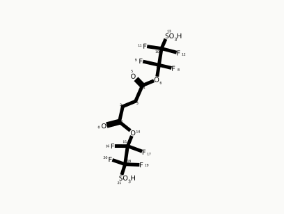 O=C(CCC(=O)OC(F)(F)C(F)(F)S(=O)(=O)O)OC(F)(F)C(F)(F)S(=O)(=O)O